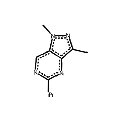 Cc1nn(C)c2cnc(C(C)C)nc12